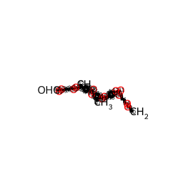 C=CCOOCCCCOC(=O)Oc1ccc(COOc2ccc(OC(=O)c3ccc(C(=C)COOCCCCOOC=O)cc3)cc2C)cc1